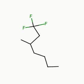 CCCCC(C)CC(F)(F)F